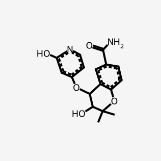 CC1(C)Oc2ccc(C(N)=O)cc2C(Oc2ccnc(O)c2)C1O